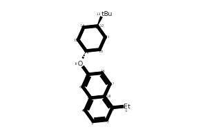 CCc1cccc2cc(O[C@H]3CC[C@H](C(C)(C)C)CC3)ccc12